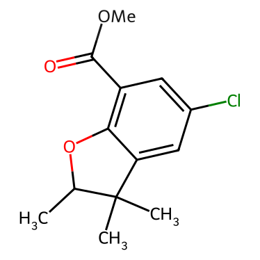 COC(=O)c1cc(Cl)cc2c1OC(C)C2(C)C